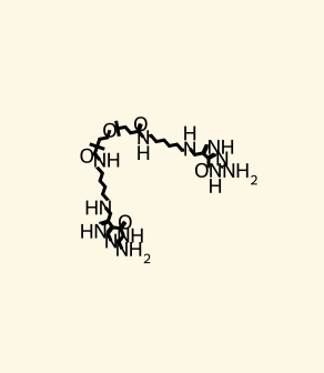 CC(C)(CCC(=O)NCCCCCCNCc1c[nH]c2nc(N)[nH]c(=O)c12)OCCC(C)(C)C(=O)NCCCCCCNCc1c[nH]c2nc(N)[nH]c(=O)c12